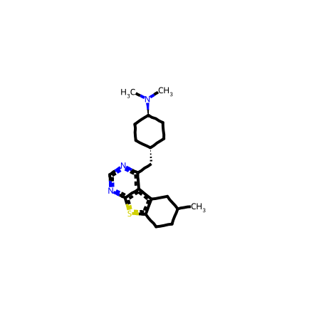 CC1CCc2sc3ncnc(C[C@H]4CC[C@H](N(C)C)CC4)c3c2C1